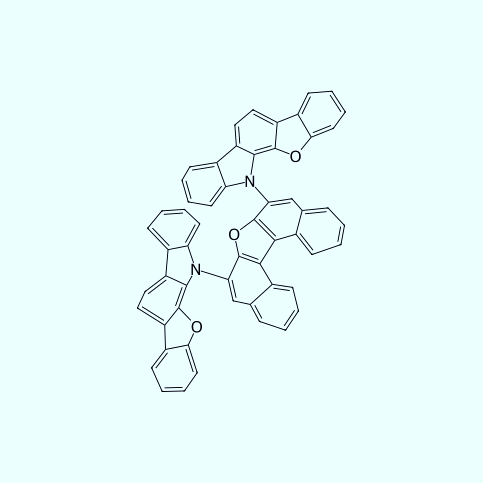 c1ccc2c(c1)cc(-n1c3ccccc3c3ccc4c5ccccc5oc4c31)c1oc3c(-n4c5ccccc5c5ccc6c7ccccc7oc6c54)cc4ccccc4c3c12